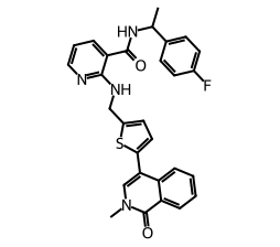 CC(NC(=O)c1cccnc1NCc1ccc(-c2cn(C)c(=O)c3ccccc23)s1)c1ccc(F)cc1